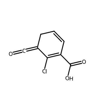 O=C=C1CC=CC(C(=O)O)=C1Cl